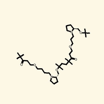 CC(C)(C)OC[C@@H]1CCCN1CCCOCCC(=O)C(C)(C)CCC(C)(C)OC[C@@H]1CCCN1CCCCOCCC(=O)C(C)(C)C